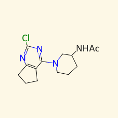 CC(=O)NC1CCCN(c2nc(Cl)nc3c2CCC3)C1